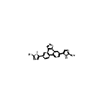 CC(C)c1ncc(-c2ccc3c(c2)c2cnsc2c2cc(-c4cnc(C(C)C)[nH]4)ccc32)[nH]1